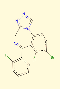 Fc1ccccc1C1=NCc2nncn2-c2ccc(Br)c(Cl)c21